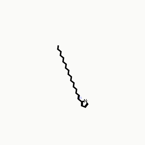 CCCCCCCCCCCCCCCC/C=C/C1=CC=C[N]1